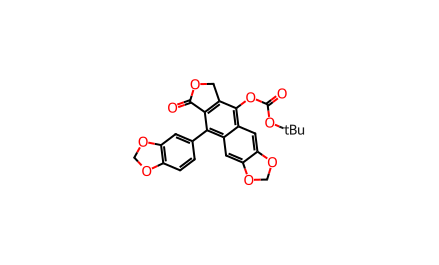 CC(C)(C)OC(=O)Oc1c2c(c(-c3ccc4c(c3)OCO4)c3cc4c(cc13)OCO4)C(=O)OC2